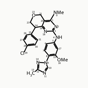 CNc1nc(Nc2ccc(-n3cnc(C)n3)c(OC)c2)nc2c1COCC2c1ccc(Cl)cc1